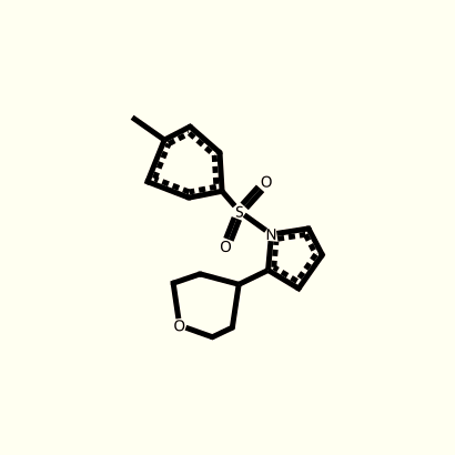 Cc1ccc(S(=O)(=O)n2cccc2C2CCOCC2)cc1